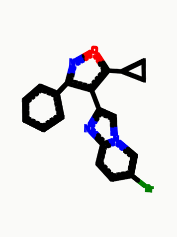 Brc1ccc2nc(-c3c(-c4ccccc4)noc3C3CC3)cn2c1